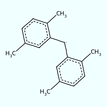 Cc1ccc(C)c([CH]c2cc(C)ccc2C)c1